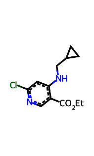 CCOC(=O)c1cnc(Cl)cc1NCC1CC1